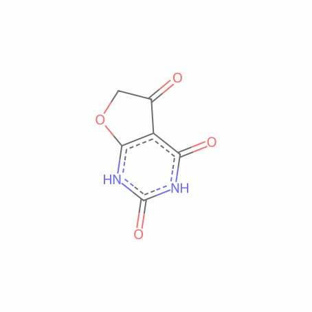 O=C1COc2[nH]c(=O)[nH]c(=O)c21